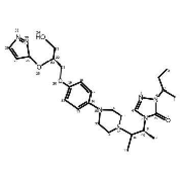 CCC(C)n1ncn([C@@H](C)C(C)N2CCN(c3ccc(OC[C@H](CO)OC4C=CN=N4)cc3)CC2)c1=O